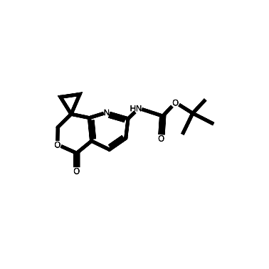 CC(C)(C)OC(=O)Nc1ccc2c(n1)C1(CC1)COC2=O